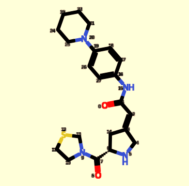 O=C(C=C1CN[C@H](C(=O)N2CCSC2)C1)Nc1ccc(N2CCCCC2)cc1